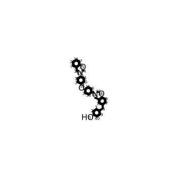 Oc1ccc(Cc2ccc3c(c2)CN(c2ccc(Oc4ccc(N5COc6ccccc6C5)cc4)cc2)CO3)cc1